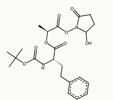 C[C@H](OC(=O)[C@H](CCc1ccccc1)NC(=O)OC(C)(C)C)C(=O)ON1C(=O)CCC1O